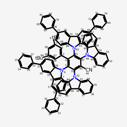 CC(C)(C)c1cc(-c2c(-n3c4ccc(-c5ccccc5)cc4c4cc(-c5ccccc5)ccc43)c(-n3c4ccccc4c4ccccc43)c(C#N)c(-n3c4ccccc4c4ccccc43)c2-n2c3ccc(-c4ccccc4)cc3c3cc(-c4ccccc4)ccc32)cc(C(C)(C)C)c1